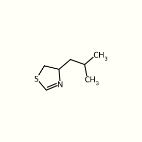 CC(C)CC1CSC=N1